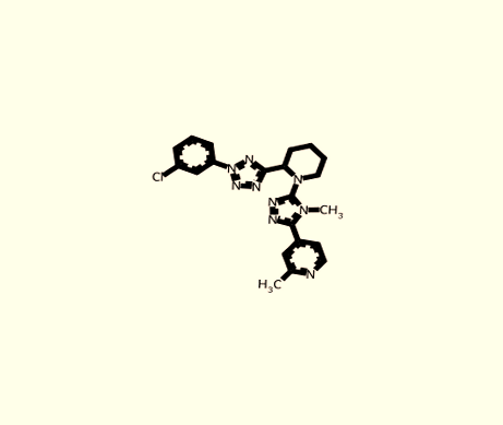 Cc1cc(-c2nnc(N3CCCCC3c3nnn(-c4cccc(Cl)c4)n3)n2C)ccn1